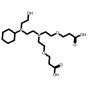 O=C(O)CCOCCN(CCOCCC(=O)O)CCN(CCO)C1CCCCC1